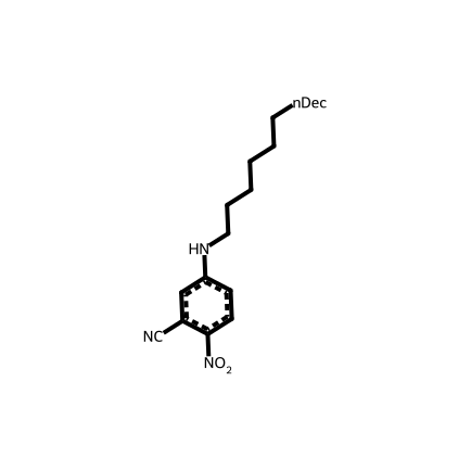 CCCCCCCCCCCCCCCCNc1ccc([N+](=O)[O-])c(C#N)c1